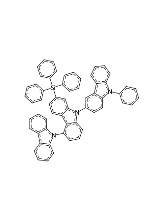 c1ccc(-n2c3ccccc3c3cc(-n4c5cc([Si](c6ccccc6)(c6ccccc6)c6ccccc6)ccc5c5c(-n6c7ccccc7c7ccccc76)cccc54)ccc32)cc1